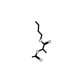 CCCCOC(=O)C(C)OC(C)=O